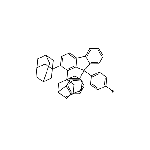 Fc1ccc(C2(c3ccc(F)cc3)c3ccccc3-c3ccc(C45CC6CC(CC(C6)C4)C5)c(C45CC6CC(CC(C6)C4)C5)c32)cc1